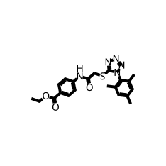 CCOC(=O)c1ccc(NC(=O)CSc2nnnn2-c2c(C)cc(C)cc2C)cc1